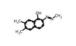 CN=Nc1ccc2cc(C)c(C)cc2c1O